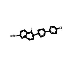 CCCCCCc1ccc2c(F)c(-c3ccc(-c4ccc(Cl)cc4)cc3)ccc2c1